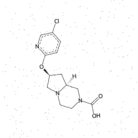 O=C(O)N1CCN2C[C@@H](Oc3ccc(Cl)cn3)C[C@H]2C1